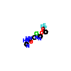 O=C(Nc1cccnc1)NC1CCN(c2nccc(Oc3ccccc3OC(F)(F)F)c2Cl)CC1